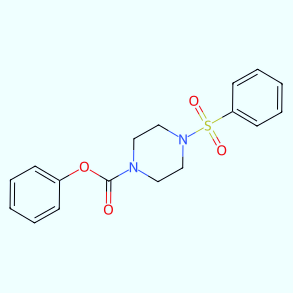 O=C(Oc1ccccc1)N1CCN(S(=O)(=O)c2ccccc2)CC1